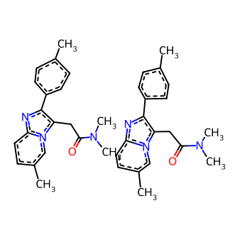 Cc1ccc(-c2nc3ccc(C)cn3c2CC(=O)N(C)C)cc1.Cc1ccc(-c2nc3ccc(C)cn3c2CC(=O)N(C)C)cc1